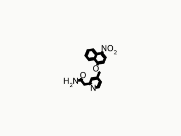 NC(=O)Cc1cc(COc2ccc([N+](=O)[O-])c3ccccc23)ccn1